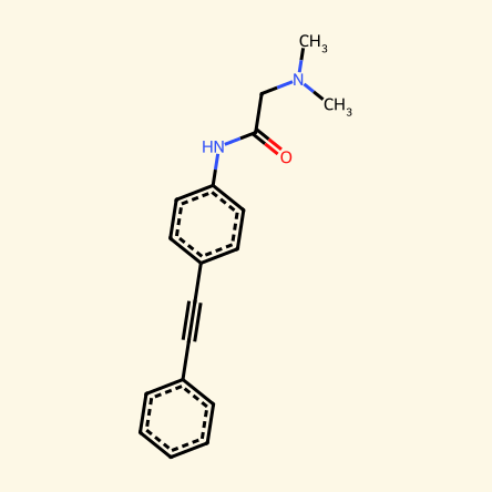 CN(C)CC(=O)Nc1ccc(C#Cc2ccccc2)cc1